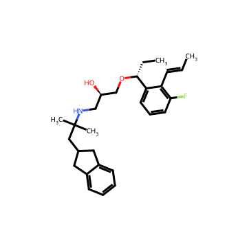 C/C=C/c1c(F)cccc1[C@@H](CC)OC[C@H](O)CNC(C)(C)CC1Cc2ccccc2C1